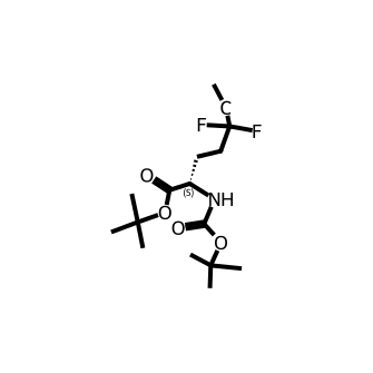 CCC(F)(F)CC[C@H](NC(=O)OC(C)(C)C)C(=O)OC(C)(C)C